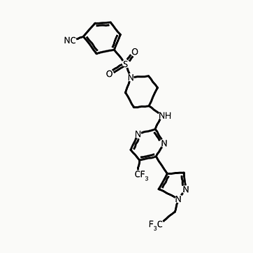 N#Cc1cccc(S(=O)(=O)N2CCC(Nc3ncc(C(F)(F)F)c(-c4cnn(CC(F)(F)F)c4)n3)CC2)c1